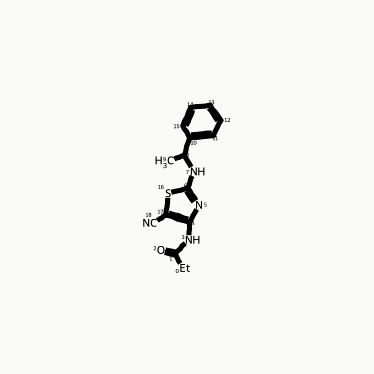 CCC(=O)Nc1nc(NC(C)c2ccccc2)sc1C#N